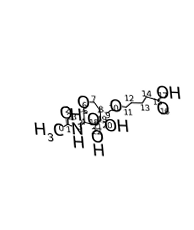 CC(=O)N[C@H]1[C@H]2OC[C@](COCCCCC(=O)O)(O2)[C@H](O)[C@@H]1O